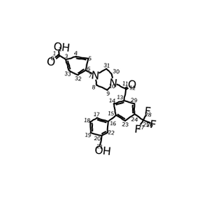 O=C(O)c1ccc(N2CCN(C(=O)c3cc(-c4cccc(O)c4)cc(C(F)(F)F)c3)CC2)cc1